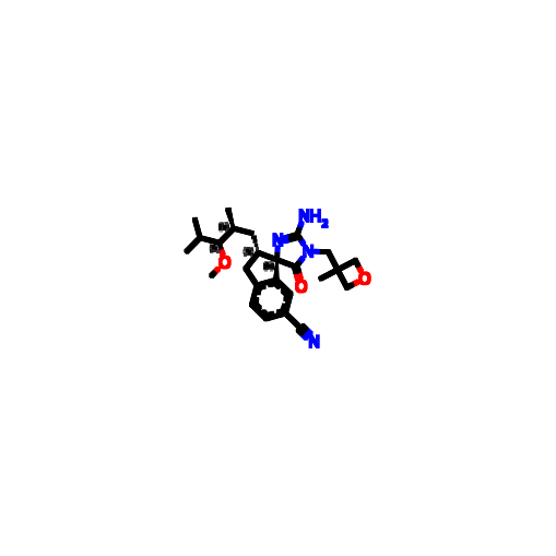 CO[C@@H](C(C)C)[C@@H](C)C[C@H]1Cc2ccc(C#N)cc2[C@]12N=C(N)N(CC1(C)COC1)C2=O